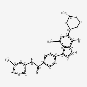 Nc1nc([C@@H]2CCC[C@@H](N)C2)c(Br)c2[nH]nc(-c3ccc(C(=O)Nc4cc(C(F)(F)F)ccn4)cc3)c12